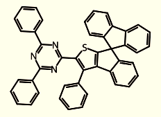 c1ccc(-c2nc(-c3ccccc3)nc(-c3sc4c(c3-c3ccccc3)-c3ccccc3C43c4ccccc4-c4ccccc43)n2)cc1